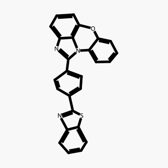 c1ccc2c(c1)Oc1cccc3nc(-c4ccc(-c5nc6ccccc6s5)cc4)n-2c13